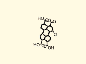 O=C(O)c1ccc2c3ccc(C(=O)O)c4c(C(=O)O)cc(Cl)c(c5ccc(C(=O)O)c1c25)c43